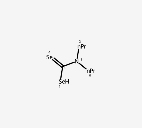 CCCN(CCC)C(=[Se])[SeH]